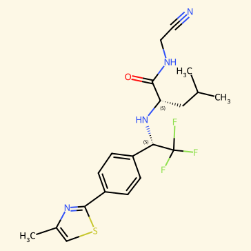 Cc1csc(-c2ccc([C@H](N[C@@H](CC(C)C)C(=O)NCC#N)C(F)(F)F)cc2)n1